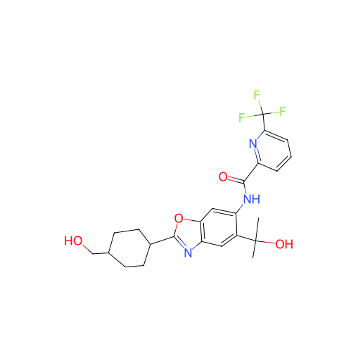 CC(C)(O)c1cc2nc(C3CCC(CO)CC3)oc2cc1NC(=O)c1cccc(C(F)(F)F)n1